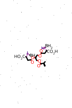 BP(I)C(CC(=O)OCC(COC(=O)C(=C)C)OC(=O)CC(C(=O)O)P(B)I)C(=O)O